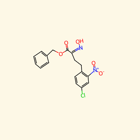 O=C(OCc1ccccc1)/C(CCc1ccc(Cl)cc1[N+](=O)[O-])=N\O